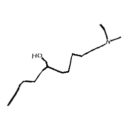 CCCC(O)CCCN(C)C